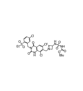 CCS(=O)(=O)c1ccc(Cl)cc1Cn1c(=O)[nH]c2c(Cl)c(CN3CC(NS(=O)(=O)NC(=O)OC(C)(C)C)C3)c(C(F)(F)F)cc2c1=O